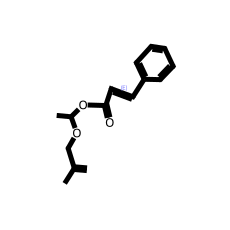 C=C(C)COC(C)OC(=O)/C=C/c1ccccc1